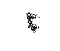 C[C@H](NC(=O)c1ccc2c(c1)CN(C1CCC(=O)NC1=O)C2=O)C1CCCCC1